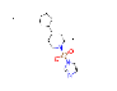 O=S(=O)(N1CCC(C2CCCC2)CC1)n1ccnc1